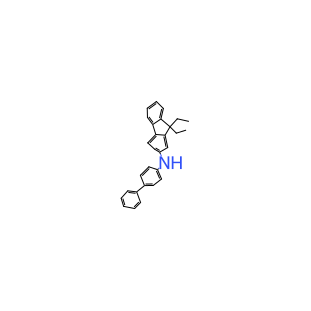 CCC1(CC)c2ccccc2-c2ccc(Nc3ccc(-c4ccccc4)cc3)cc21